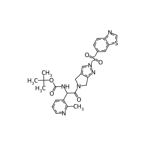 Cc1ncccc1C(NC(=O)OC(C)(C)C)C(=O)N1Cc2cn(S(=O)(=O)c3ccc4ncsc4c3)nc2C1